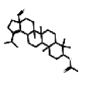 CC(=O)OC1CCC2(C)C(CCC3(C)C2CCC2C4=C(C(C)C)CCC4(C=O)CCC23C)C1(C)C